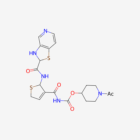 CC(=O)N1CCC(OC(=O)NC(=O)C2=CCSC2NC(=O)C2Nc3cnccc3S2)CC1